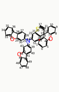 c1ccc2c(c1)Oc1ccccc1C21c2ccccc2Sc2cc(N(c3ccc4c(c3)oc3ccccc34)c3ccc4c(c3)oc3ccccc34)ccc21